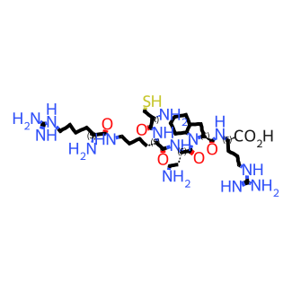 N=C(N)NCCCC[C@H](N)C(=O)NCCCC[C@H](NC(=O)[C@@H](N)CS)C(=O)N[C@@H](CCN)C(=O)N1C2CCCCC2C[C@H]1C(=O)N[C@@H](CCCNC(=N)N)C(=O)O